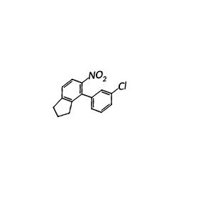 O=[N+]([O-])c1ccc2c(c1-c1cccc(Cl)c1)CCC2